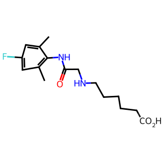 Cc1cc(F)cc(C)c1NC(=O)CNCCCCCC(=O)O